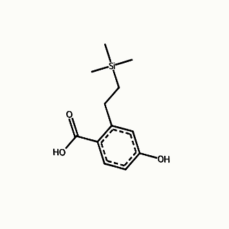 C[Si](C)(C)CCc1cc(O)ccc1C(=O)O